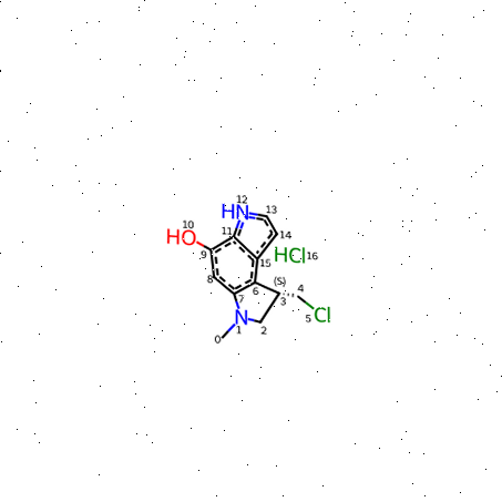 CN1C[C@@H](CCl)c2c1cc(O)c1[nH]ccc21.Cl